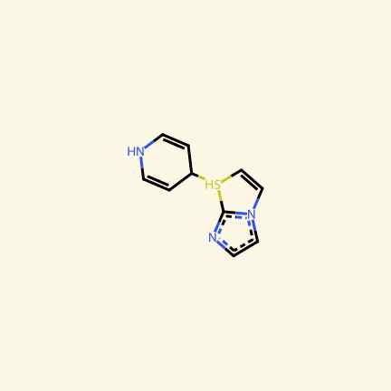 C1=CC([SH]2C=Cn3ccnc32)C=CN1